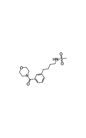 CS(=O)(=O)NCCC[CH]c1cccc(C(=O)N2CCOCC2)c1